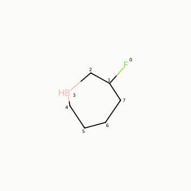 FC1CBCCCC1